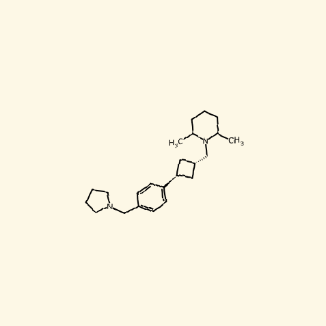 CC1CCCC(C)N1C[C@H]1C[C@H](c2ccc(CN3CCCC3)cc2)C1